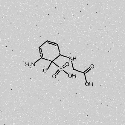 NC1=CC=CC(NCC(=O)O)C1(Cl)S(=O)(=O)O